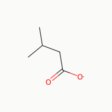 CC(C)CC([O])=O